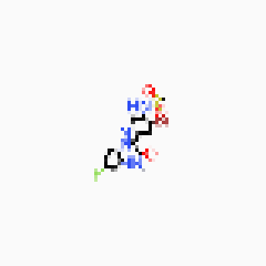 CNC(=O)c1c2cc(Br)c(NS(C)(=O)=O)cc2nn1-c1ccc(F)cc1